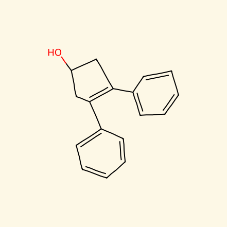 OC1CC(c2ccccc2)=C(c2ccccc2)C1